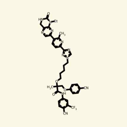 CCN1C(=O)NCc2ncc(-c3ccc(-c4ncn(CCCCCOC(C)(COc5ccc(C#N)cc5)C(=O)Nc5ccc(C#N)c(C(F)(F)F)c5)n4)nc3C)nc21